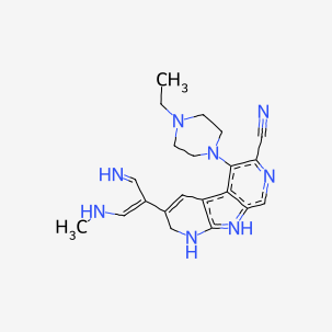 CCN1CCN(c2c(C#N)ncc3[nH]c4c(c23)C=C(/C(C=N)=C/NC)CN4)CC1